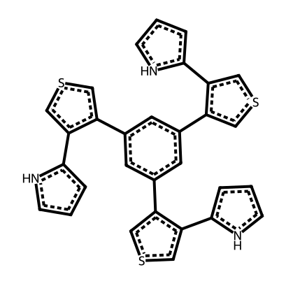 c1c[nH]c(-c2cscc2-c2cc(-c3cscc3-c3ccc[nH]3)cc(-c3cscc3-c3ccc[nH]3)c2)c1